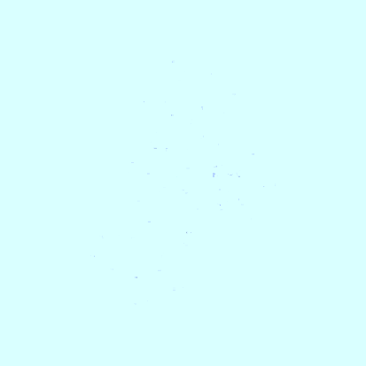 CCC(C)C1=Cc2c(-c3ccccc3C(C)CC)cccc2[CH]1[Zr]([Cl])([Cl])([B](NC=O)NC=O)[CH]1C(C(C)CC)=Cc2c(-c3ccccc3C(C)CC)cccc21